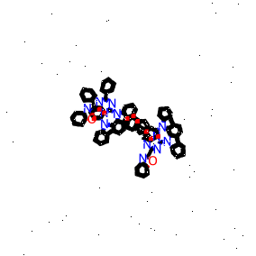 c1ccc(-c2ccc(-n3c4ccccc4c4ccc5c6c(-c7ccc(-c8nc(-c9nc%10ccccc%10o9)nc(-n9c%10ccccc%10c%10ccc%11c%12ccccc%12n(-c%12cccc(-c%13ccccc%13)c%12)c%11c%109)n8)cc7)cccc6n(-c6nc(-c7ccccc7)nc(-c7nc8ccccc8o7)n6)c5c43)cc2)cc1